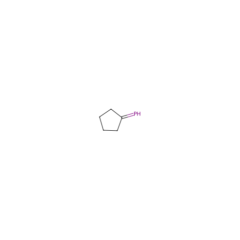 P=C1CCCC1